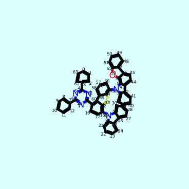 c1ccc(-c2nc(-c3ccccc3)nc(-c3ccc(-n4c5ccccc5c5ccccc54)c4sc5c(-n6c7ccccc7c7ccc8c9ccccc9oc8c76)cccc5c34)n2)cc1